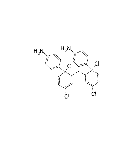 Nc1ccc(C2(Cl)C=CC(Cl)=CC2CC2C=C(Cl)C=CC2(Cl)c2ccc(N)cc2)cc1